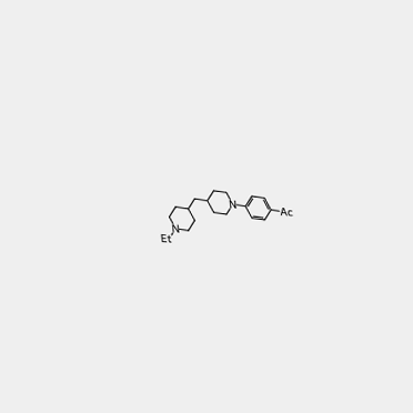 CCN1CCC(CC2CCN(c3ccc(C(C)=O)cc3)CC2)CC1